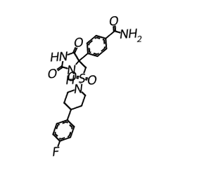 NC(=O)c1ccc(C2(CS(=O)(=O)N3CCC(c4ccc(F)cc4)CC3)NC(=O)NC2=O)cc1